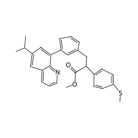 COC(=O)C(Cc1cccc(-c2cc(C(C)C)cc3cccnc23)c1)c1ccc(SC)cc1